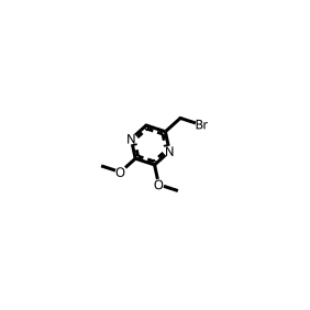 COc1ncc(CBr)nc1OC